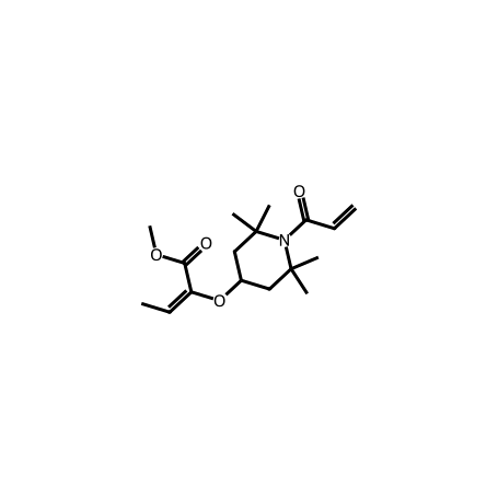 C=CC(=O)N1C(C)(C)CC(OC(=CC)C(=O)OC)CC1(C)C